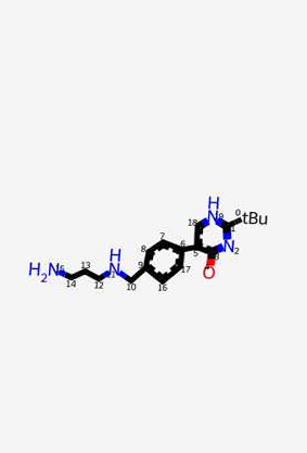 CC(C)(C)c1nc(=O)c(-c2ccc(CNCCCN)cc2)c[nH]1